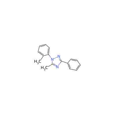 Cc1ccccc1-n1nc(-c2ccccc2)nc1C